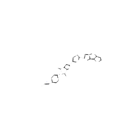 CC/C=C/c1ccc(N2C(=O)c3cc(-c4ccc(-c5cc6sc7ccsc7c6s5)s4)sc3C2=O)cc1